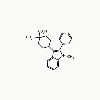 Cn1c(-c2ccccc2)c(C2CCC(C(=O)O)(C(=O)O)CC2)c2ccccc21